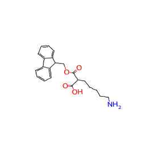 NCCCCCC(C(=O)O)C(=O)OCC1c2ccccc2-c2ccccc21